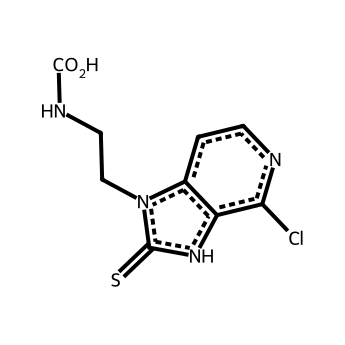 O=C(O)NCCn1c(=S)[nH]c2c(Cl)nccc21